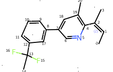 C/C=C(/C)c1ncc(-c2cccc(C(C)(F)F)c2)cc1C